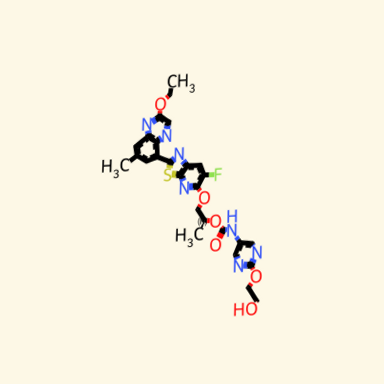 CCOc1cnc2c(-c3nc4cc(F)c(OC[C@@H](C)OC(=O)Nc5cnc(OCCO)nc5)nc4s3)cc(C)cc2n1